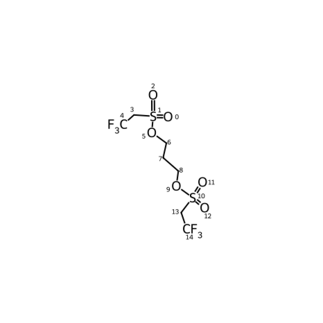 O=S(=O)(CC(F)(F)F)OCCCOS(=O)(=O)CC(F)(F)F